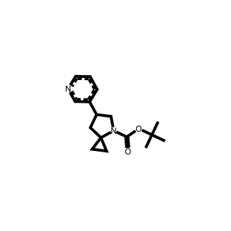 CC(C)(C)OC(=O)N1CC(c2cccnc2)CC12CC2